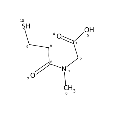 CN(CC(=O)O)C(=O)CCS